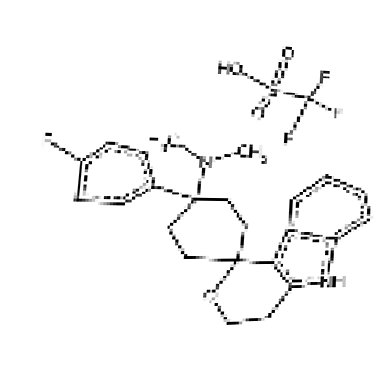 CN(C)C1(c2ccc(F)cc2)CCC2(CC1)OCCc1[nH]c3ccccc3c12.O=S(=O)(O)C(F)(F)F